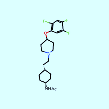 CC(=O)N[C@H]1CC[C@H](CCN2CCC(Oc3cc(F)c(F)cc3F)CC2)CC1